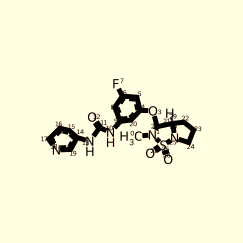 CN1C(Oc2cc(F)cc(NC(=O)Nc3cccnc3)c2)[C@H]2CCCN2S1(=O)=O